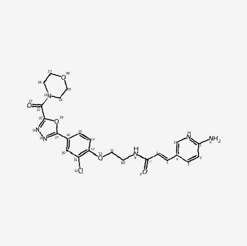 Nc1ccc(C=CC(=O)NCCOc2ccc(-c3nnc(C(=O)N4CCOCC4)o3)cc2Cl)cn1